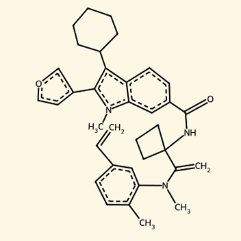 C=Cc1ccc(C)c(N(C)C(=C)C2(NC(=O)c3ccc4c(C5CCCCC5)c(-c5ccoc5)n(C)c4c3)CCC2)c1